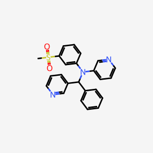 CS(=O)(=O)c1cccc(N(c2cccnc2)C(c2ccccc2)c2cccnc2)c1